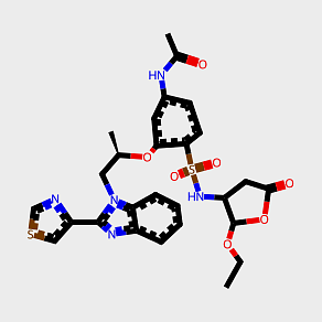 CCOC1OC(=O)CC1NS(=O)(=O)c1ccc(NC(C)=O)cc1O[C@H](C)Cn1c(-c2cscn2)nc2ccccc21